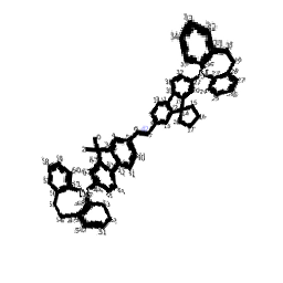 CC1(C)c2cc(/C=C/c3ccc4c(c3)C3(CCCC3)c3cc(N5c6ccccc6CCc6ccccc65)ccc3-4)ccc2-c2ccc(N3C4=C(C=CCC4)CCc4ccccc43)cc21